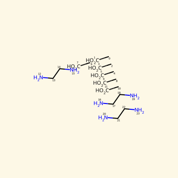 CC(=O)O.CC(=O)O.CC(=O)O.CC(=O)O.CC(=O)O.CC(=O)O.NCCN.NCCN.NCCN